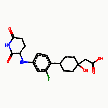 O=C(O)CC1(O)CCC(c2ccc(NC3CCC(=O)NC3=O)cc2F)CC1